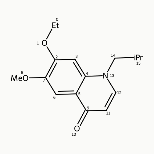 CCOc1cc2c(cc1OC)c(=O)ccn2CC(C)C